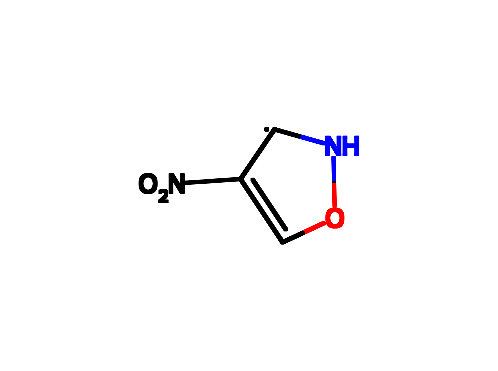 O=[N+]([O-])C1=CON[CH]1